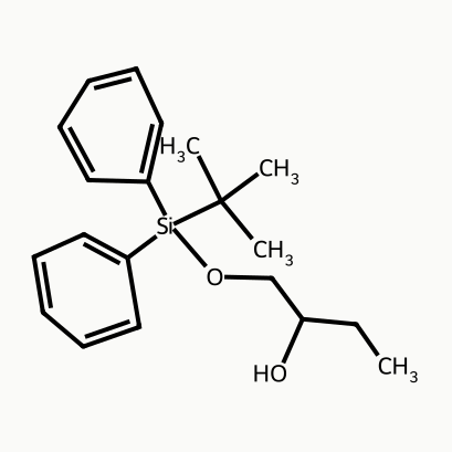 CCC(O)CO[Si](c1ccccc1)(c1ccccc1)C(C)(C)C